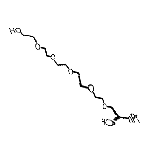 CCCC(O)COCCOCCOCCOCCOCCO